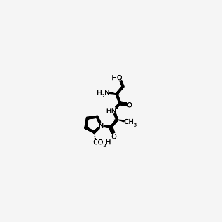 C[C@H](NC(=O)[C@@H](N)CO)C(=O)N1CCC[C@H]1C(=O)O